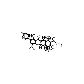 Cc1ccc(-c2cc(N(C)C)c3c(c2O)C(=O)C2=C(N=O)[C@]4(O)C(=O)C(C(N)=O)=C(O)[C@@H](N(C)C)[C@]4(N)C[C@@H]2C3)cn1